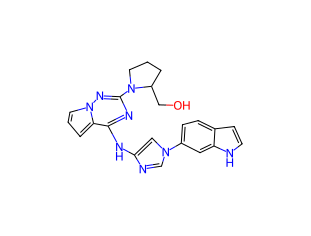 OCC1CCCN1c1nc(Nc2cn(-c3ccc4cc[nH]c4c3)cn2)c2cccn2n1